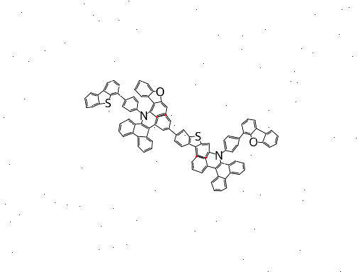 c1ccc(-c2c(N(c3ccc(-c4cccc5c4oc4ccccc45)cc3)c3ccc4c(c3)sc3cc(-c5cccc(-c6c(N(c7ccc(-c8cccc9c8sc8ccccc89)cc7)c7cccc8oc9ccccc9c78)c7ccccc7c7ccccc67)c5)ccc34)c3ccccc3c3ccccc23)cc1